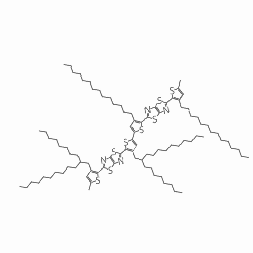 CCCCCCCCCCCCCCc1cc(C)sc1-c1nc2sc(-c3sc(-c4cc(CC(CCCCCCCC)CCCCCCCCCC)c(-c5nc6sc(-c7sc(C)cc7CC(CCCCCCCC)CCCCCCCCCC)nc6s5)s4)cc3CCCCCCCCCCCCCC)nc2s1